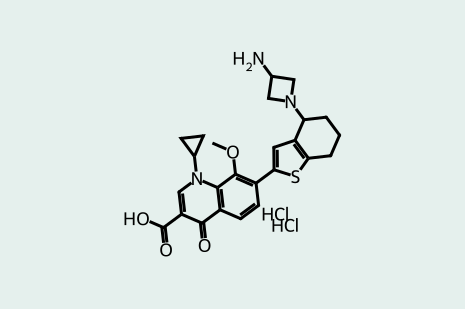 COc1c(-c2cc3c(s2)CCCC3N2CC(N)C2)ccc2c(=O)c(C(=O)O)cn(C3CC3)c12.Cl.Cl